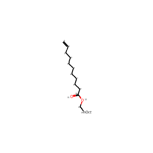 C=CCCCCCCCCC(=O)OCCCCCCCCC